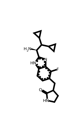 N[C@H](c1nc2c(F)c(CC3CCNC3=O)ccc2[nH]1)C(C1CC1)C1CC1